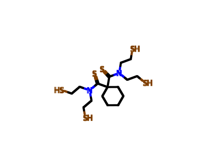 S=C(N(CCS)CCS)C1(C(=S)N(CCS)CCS)CCCCC1